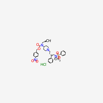 C#CCN(C(=O)OCc1ccc([N+](=O)[O-])cc1)C1CCN(CC[C@H](CN(C)S(=O)(=O)c2ccccc2)c2ccccc2)CC1.Cl